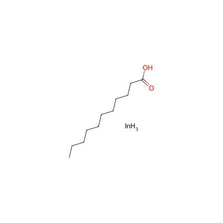 CCCCCCCCCCC(=O)O.[InH3]